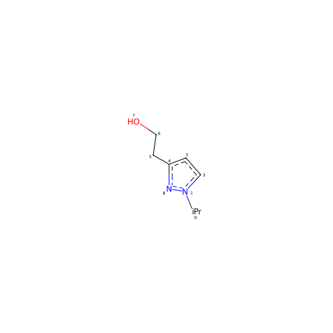 CC(C)n1ccc(CCO)n1